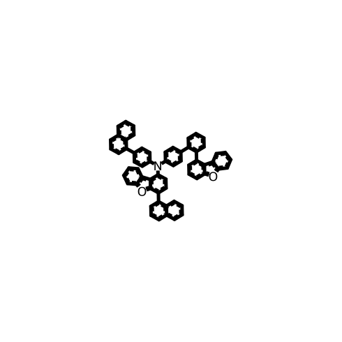 c1ccc(-c2cccc3oc4ccccc4c23)c(-c2ccc(N(c3ccc(-c4cccc5ccccc45)cc3)c3ccc(-c4cccc5ccccc45)c4oc5ccccc5c34)cc2)c1